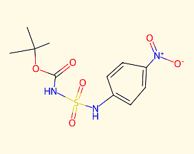 CC(C)(C)OC(=O)NS(=O)(=O)Nc1ccc([N+](=O)[O-])cc1